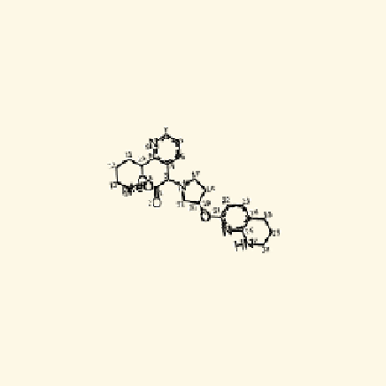 COC(=O)C(c1cccnc1C1CCCCO1)N1CC[C@@H](Oc2ccc3c(n2)NCCC3)C1